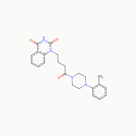 Cc1ccccc1N1CCN(C(=O)CCCn2c(=O)[nH]c(=O)c3ccccc32)CC1